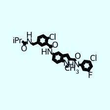 CC(C)C(=O)NCc1ccc(Cl)c(C(=O)Nc2ccc3c(c2)cc(C(=O)Nc2cc(F)cc(Cl)c2)n3C)c1